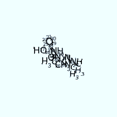 CC(C)Nc1ncc2c(n1)CN(C(=O)N[C@H](CO)c1ccccc1)C2(C)C